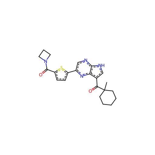 CC1(C(=O)c2c[nH]c3ncc(-c4ccc(C(=O)N5CCC5)s4)nc23)CCCCC1